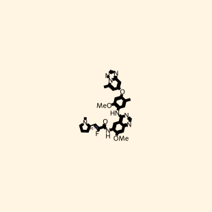 COc1cc2ncnc(Nc3cc(C)c(Oc4cc(C)n5ncnc5c4)cc3OC)c2cc1NC(=O)/C(F)=C/[C@H]1CCCN1C